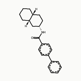 O=C(N[C@H]1CC[C@H]2CCCC[C@H]2C1)c1ccc(-c2ccccc2)cc1